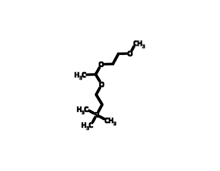 COCCO[C](C)OCC[Si](C)(C)C